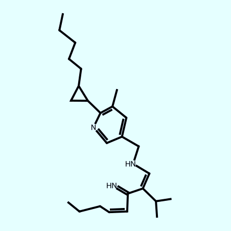 CCC/C=C\C(=N)/C(=C\NCc1cnc(C2CC2CCCCC)c(C)c1)C(C)C